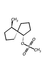 C[C@@H]1CCC[C@@]12CCC[C@@H]2OS(C)(=O)=O